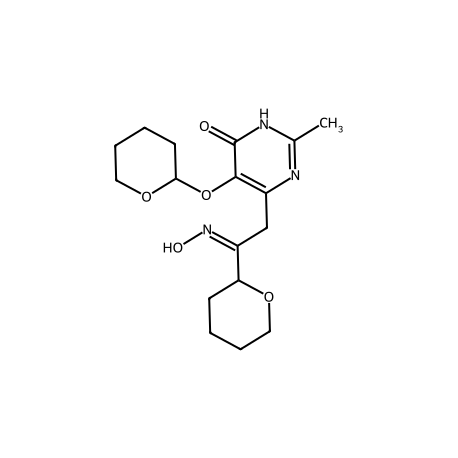 Cc1nc(CC(=NO)C2CCCCO2)c(OC2CCCCO2)c(=O)[nH]1